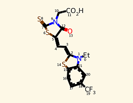 CCN1/C(=C/C=C2/SC(=S)N(CC(=O)O)C2=O)Sc2ccc(C(F)(F)F)cc21